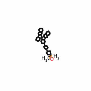 CP(C)(=O)c1ccc(-c2ccc(-c3ccc4c(c3)-c3cc5ccccc5cc3C43c4ccccc4-c4cc5ccccc5cc43)cc2)cc1